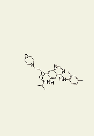 Cc1ccc(Nc2ncnc3cc(OCCN4CCOCC4)c(NC(=O)C(C)C)cc23)c(C)c1